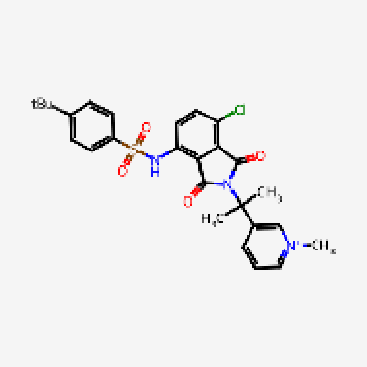 C[n+]1cccc(C(C)(C)N2C(=O)c3c(Cl)ccc(NS(=O)(=O)c4ccc(C(C)(C)C)cc4)c3C2=O)c1